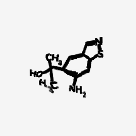 CC(C)(O)c1cc2cnsc2cc1N